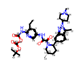 CCc1cc(NC(=O)C(=O)N2C[C@@H](C)CCC2c2ccc3c(C)n(C4CCN(C)CC4)nc3c2)cnc1NC(=O)OC(=O)OC(C)(C)C